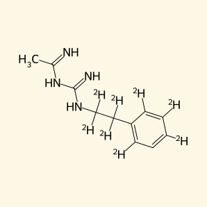 [2H]c1cc([2H])c(C([2H])([2H])C([2H])([2H])NC(=N)NC(C)=N)c([2H])c1[2H]